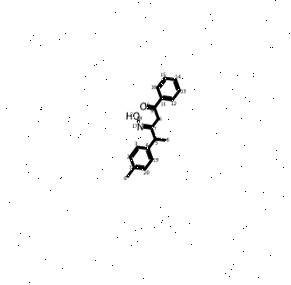 Cc1ccc(C(C)C(CC(=O)c2ccccc2)=NO)cc1